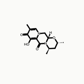 Cc1cn2c(c(O)c1=O)C(=O)N1[C@H](C)C[C@@H](C)O[C@H]1C2